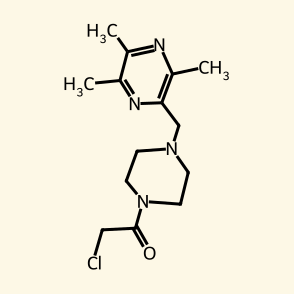 Cc1nc(C)c(CN2CCN(C(=O)CCl)CC2)nc1C